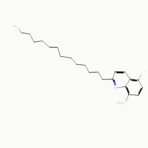 COc1ccc(Cl)c2ccc(CCCCCCCCCCCCCO)nc12